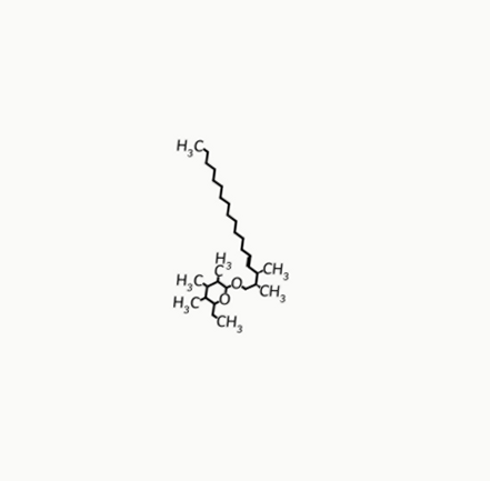 CCCCCCCCCCCCC/C=C/[C@@H](C)[C@@H](C)COC1OC(CC)C(C)C(C)C1C